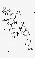 C=C/N=C1/C=NC(N2CCN(C)CC2)=N/C1=C(/N)Nc1cc(C(=O)Nc2cc(C(F)(F)F)cc(NS(C)(=O)=O)c2OC)ccc1C